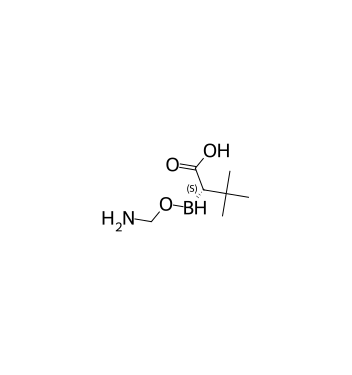 CC(C)(C)[C@H](BOCN)C(=O)O